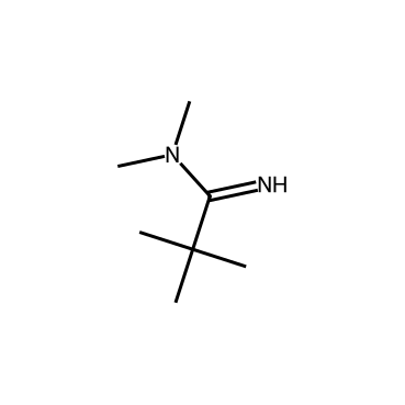 CN(C)C(=N)C(C)(C)C